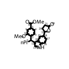 CCCC(c1ccc(C(=O)OC)cc1OC)c1c[nH]c2ccc(C3CCC(=O)O3)cc12